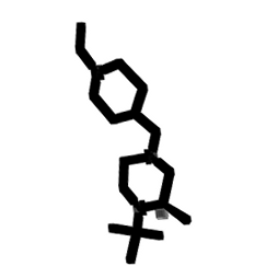 CCN1CCC(CN2CCN(C(C)(C)C)[C@H](C)C2)CC1